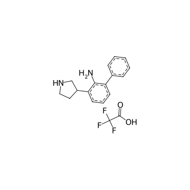 Nc1c(-c2ccccc2)cccc1C1CCNC1.O=C(O)C(F)(F)F